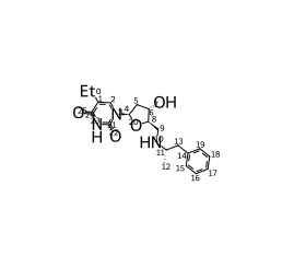 CCc1cn([C@H]2C[C@H](O)[C@@H](CN[C@@H](C)Cc3ccccc3)O2)c(=O)[nH]c1=O